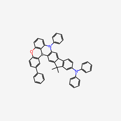 CC1(C)c2cc(N(c3ccccc3)c3ccccc3)ccc2-c2cc3c(cc21)B1c2cc(-c4ccccc4)ccc2Oc2cccc(c21)N3c1ccccc1